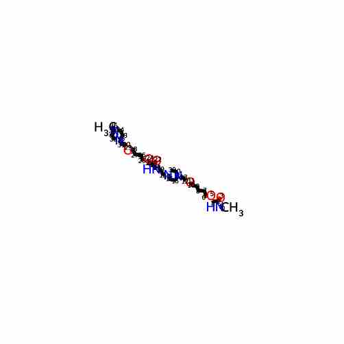 CNC(=O)COCCCCCOCCN1CCN(CCNC(=O)COCCCCOCCN2CCN(C)CC2)CC1